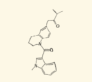 CC(C)C(=O)Cc1ccc2c(c1)CCCN2C(=O)c1cn(C)c2ccccc12